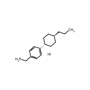 CCC[C@H]1CC[C@H](c2ccc(CP)cc2)CC1.I